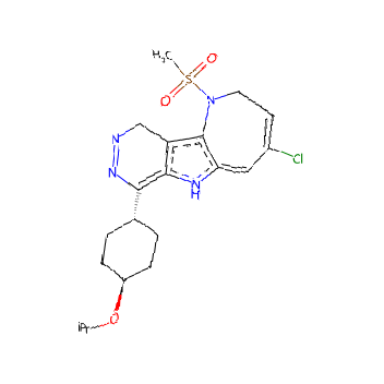 CC(C)O[C@H]1CC[C@H](C2=c3[nH]c4c(c3CN=N2)N(S(C)(=O)=O)CC=C(Cl)C=4)CC1